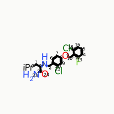 CC(C)CC(NCc1ccc(OCc2c(F)cccc2Cl)cc1Cl)C(N)=O